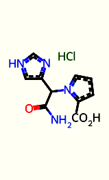 Cl.NC(=O)C(c1c[nH]cn1)n1cccc1C(=O)O